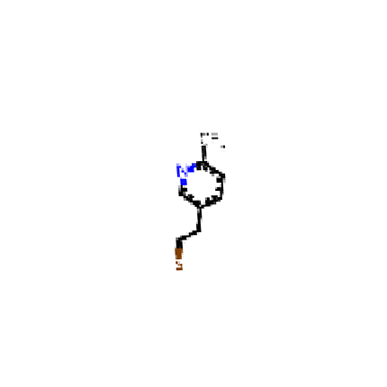 FC(F)(F)c1ccc(CC=S)cn1